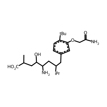 CC(CC(O)C(N)CC(Cc1ccc(C(C)(C)C)c(OCC(N)=O)c1)C(C)C)C(=O)O